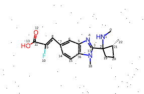 CNC1(c2nc3cc(/C=C(\F)C(=O)O)ccc3n2C)CC[C@H]1C